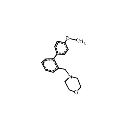 COc1ccc(-c2ccccc2CN2CCOCC2)cc1